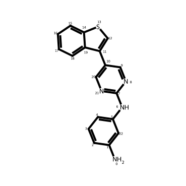 Nc1cccc(Nc2ncc(-c3csc4ccccc34)cn2)c1